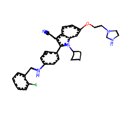 N#Cc1c(-c2ccc(NCc3ccccc3F)cc2)n(C2CCC2)c2cc(OCCN3CCNC3)ccc12